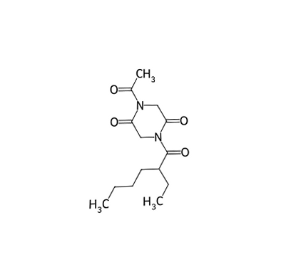 CCCCC(CC)C(=O)N1CC(=O)N(C(C)=O)CC1=O